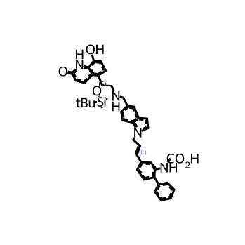 CC(C)(C)[Si](C)(C)O[C@H](CNCc1ccc2c(ccn2C/C=C/c2ccc(-c3ccccc3)c(NC(=O)O)c2)c1)c1ccc(O)c2[nH]c(=O)ccc12